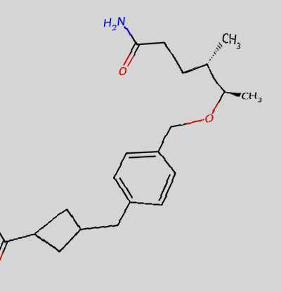 C[C@@H](CCC(N)=O)[C@@H](C)OCc1ccc(CC2CC(C(=O)O)C2)cc1